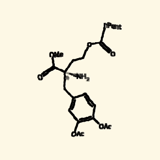 CCCCCC(=O)OCC[C@@](N)(Cc1ccc(OC(C)=O)c(OC(C)=O)c1)C(=O)OC